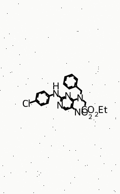 CCOC(=O)CN(Cc1ccccc1)c1nc(Nc2ccc(Cl)cc2)ncc1[N+](=O)[O-]